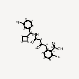 O=C(CC(=O)NC(c1cccc(F)c1)C1CCC1)Cc1cccc(I)c1C(=O)O